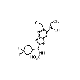 CN(CC(F)(F)F)c1cc2nc([C@@H](NC(=O)O)C3CCC(F)(F)CC3)cn2nc1CCl